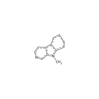 Cn1c2ccccc2c2ccncc21